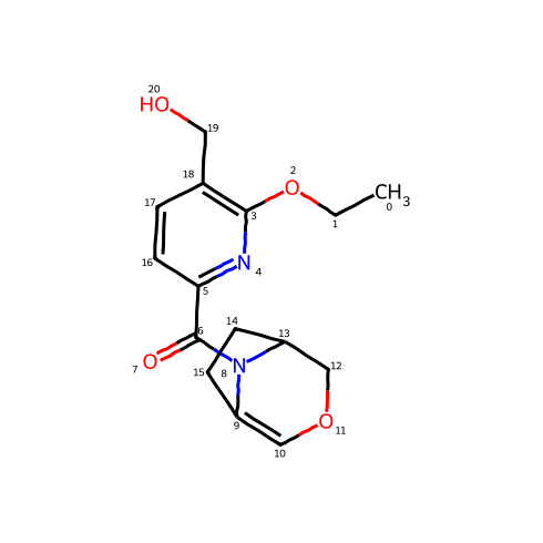 CCOc1nc(C(=O)N2C3=COCC2CC3)ccc1CO